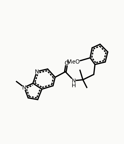 COc1ccccc1CC(C)(C)NC(=O)c1cnc2c(ccn2C)c1